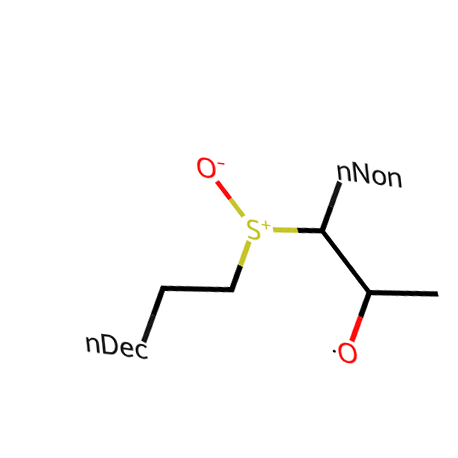 CCCCCCCCCCCC[S+]([O-])C(CCCCCCCCC)C(C)[O]